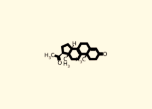 CC(=O)[C@H]1CC[C@H]2C3=C(CC[C@]12C)[C@@]1(C)CCC(=O)C=C1CC3